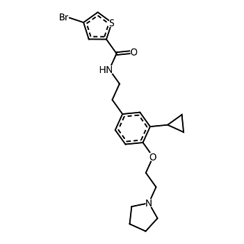 O=C(NCCc1ccc(OCCN2CCCC2)c(C2CC2)c1)c1cc(Br)cs1